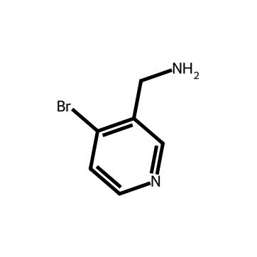 NCc1cnccc1Br